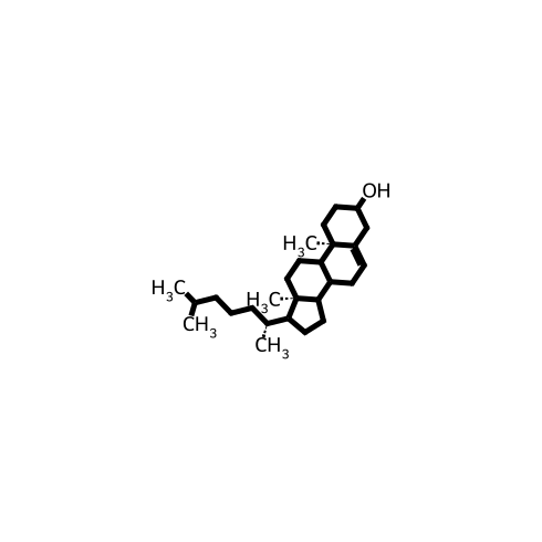 CC(C)CCC[C@@H](C)C1CCC2C3CC=C4CC(O)CC[C@]4(C)C3CC[C@@]21C